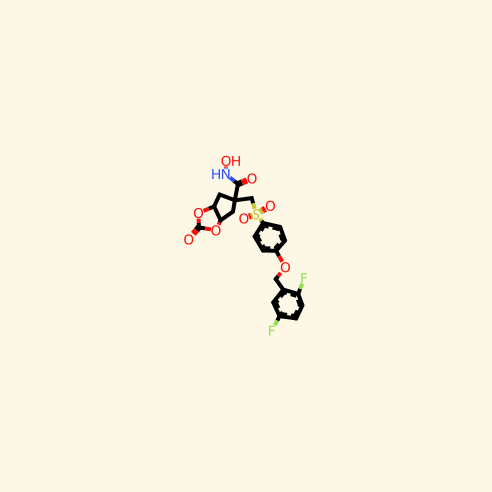 O=C1OC2CC(CS(=O)(=O)c3ccc(OCc4cc(F)ccc4F)cc3)(C(=O)NO)CC2O1